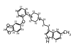 Cc1ccc2[nH]cc(CCCN3CCN(c4ccccc4Oc4ccc5c(c4)OCO5)CC3)c2c1